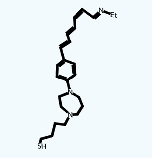 CC/N=C/C=C\C=C\C=C\c1ccc(N2CCCN(CCCCS)CC2)cc1